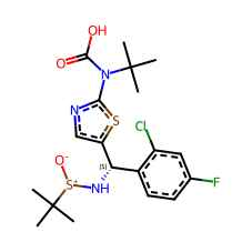 CC(C)(C)N(C(=O)O)c1ncc([C@@H](N[S+]([O-])C(C)(C)C)c2ccc(F)cc2Cl)s1